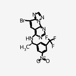 C[C@@H](Nc1ncnc2c1cc(Br)c1ncnn12)c1cc([N+](=O)[O-])cc(C(F)(F)F)c1